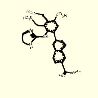 N=C(N)c1ccc2cc(-c3cc(C(=O)O)c(CS(=O)(=O)O)c(CS(=O)(=O)O)c3NC3=NCCN3)ccc2c1